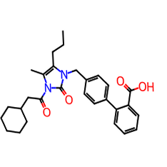 CCCc1c(C)n(C(=O)CC2CCCCC2)c(=O)n1Cc1ccc(-c2ccccc2C(=O)O)cc1